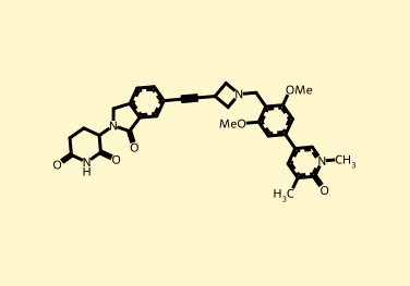 COc1cc(-c2cc(C)c(=O)n(C)c2)cc(OC)c1CN1CC(C#Cc2ccc3c(c2)C(=O)N(C2CCC(=O)NC2=O)C3)C1